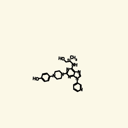 C[C@@H](CO)Nc1nc(N2CCN(c3ccc(O)cc3)CC2)nc2c1ncn2-c1cccnc1